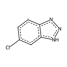 Clc1c[c]c2nn[nH]c2c1